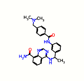 CC(Nc1ncnc2c(C(N)=O)cccc12)c1cccc(NC(=O)c2ccc(CN(C)C)cc2)c1